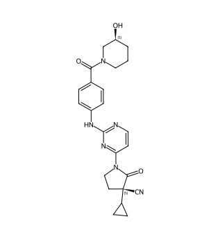 N#C[C@@]1(C2CC2)CCN(c2ccnc(Nc3ccc(C(=O)N4CCC[C@H](O)C4)cc3)n2)C1=O